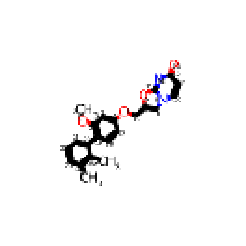 COc1cc(OCC2Cn3ccc(=O)nc3O2)ccc1-c1cccc(C)c1C